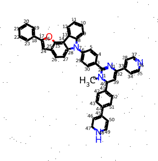 CN1C(c2ccc(-n3c4ccccc4c4c5oc(-c6ccccc6)cc5ccc43)cc2)=NC(c2ccncc2)=CC1c1ccc(C2=CCNC=C2)cc1